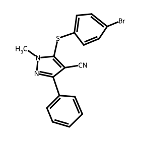 Cn1nc(-c2ccccc2)c(C#N)c1Sc1ccc(Br)cc1